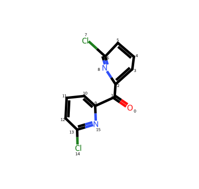 O=C(c1cccc(Cl)n1)c1cccc(Cl)n1